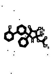 CN1C(=O)C(c2ccccc2)(c2cccc(-c3ccccc3Cl)c2)NC1(N)OC(=O)C(F)(F)F